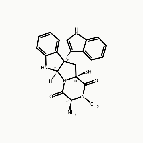 CN1C(=O)[C@@]2(S)C[C@]3(c4c[nH]c5ccccc45)c4ccccc4N[C@@H]3N2C(=O)[C@@H]1N